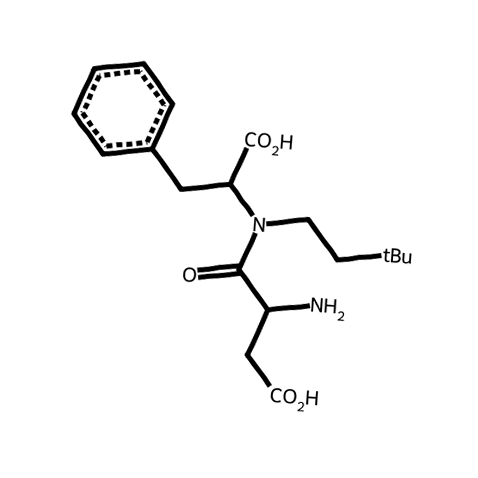 CC(C)(C)CCN(C(=O)C(N)CC(=O)O)C(Cc1ccccc1)C(=O)O